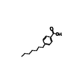 CCCCCCCc1ccc(C(=O)O)cc1